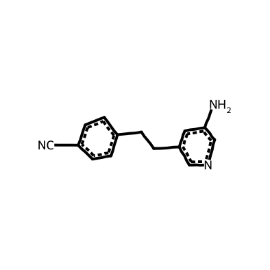 N#Cc1ccc(CCc2cncc(N)c2)cc1